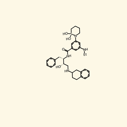 CCNc1cc(C(=O)N[C@@H](Cc2ccccc2)[C@@H](O)CNC2CCc3ccccc3C2)cc(N2CCCCS2(O)O)c1